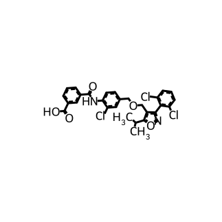 CC(C)c1onc(-c2c(Cl)cccc2Cl)c1COCc1ccc(NC(=O)c2cccc(C(=O)O)c2)c(Cl)c1